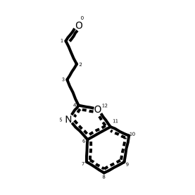 O=CCCc1nc2ccccc2o1